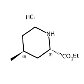 CCOC(=O)[C@@H]1C[C@@H](C)CCN1.Cl